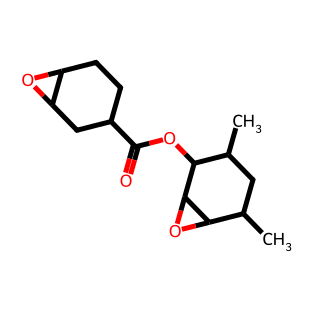 CC1CC(C)C2OC2C1OC(=O)C1CCC2OC2C1